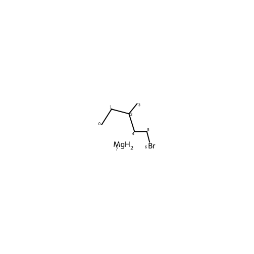 CCC(C)CCBr.[MgH2]